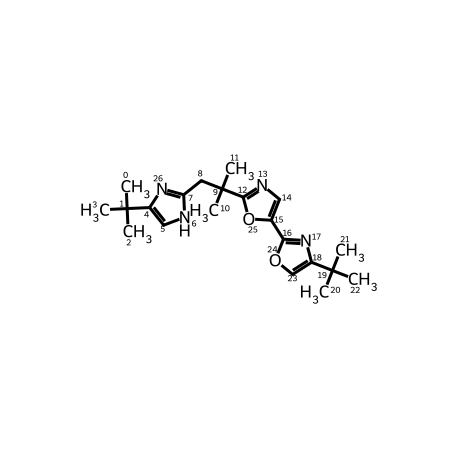 CC(C)(C)c1c[nH]c(CC(C)(C)c2ncc(-c3nc(C(C)(C)C)co3)o2)n1